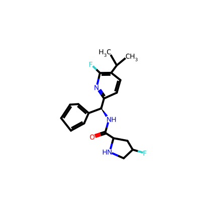 CC(C)c1ccc([C@@H](NC(=O)C2CC(F)CN2)c2ccccc2)nc1F